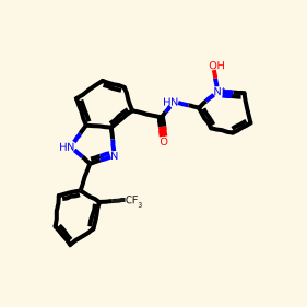 O=C(Nc1cccc[n+]1O)c1cccc2[nH]c(-c3ccccc3C(F)(F)F)nc12